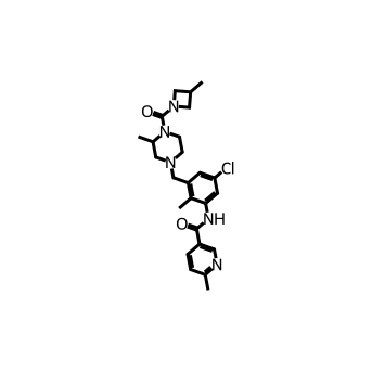 Cc1ccc(C(=O)Nc2cc(Cl)cc(CN3CCN(C(=O)N4CC(C)C4)C(C)C3)c2C)cn1